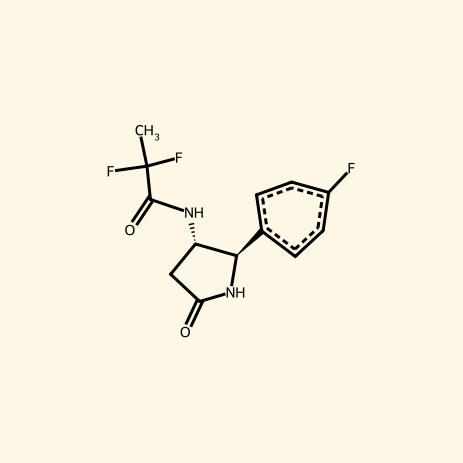 CC(F)(F)C(=O)N[C@H]1CC(=O)N[C@@H]1c1ccc(F)cc1